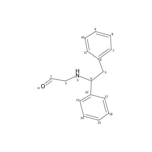 O=[C]CNC(Cc1ccccc1)c1ccccc1